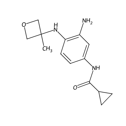 CC1(Nc2ccc(NC(=O)C3CC3)cc2N)COC1